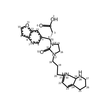 O=C(O)C[C@@H](c1cnc2ccoc2c1)N1CCN(CCCC2=CC=C3CCCNC3N2)C1=O